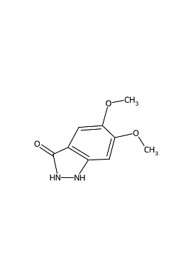 COc1cc2[nH][nH]c(=O)c2cc1OC